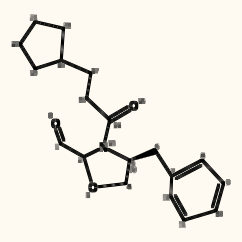 O=CC1OC[C@H](Cc2ccccc2)N1C(=O)CCC1CCCC1